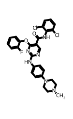 CN1CCN(c2ccc(Nc3ncc(C(=O)Nc4c(Cl)cccc4Cl)c(Oc4ccccc4F)n3)cc2)CC1